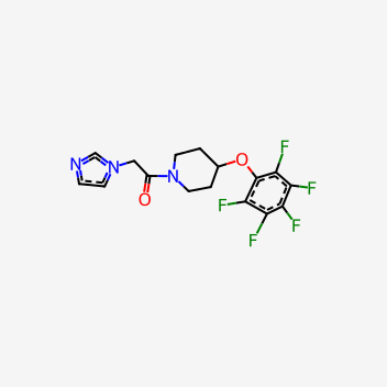 O=C(Cn1ccnc1)N1CCC(Oc2c(F)c(F)c(F)c(F)c2F)CC1